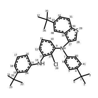 CC(C)(C)c1ccc(N(c2cccc(Nc3cccc(C(C)(C)C)c3)c2Cl)c2csc3ccc(C(C)(C)C)cc23)cc1